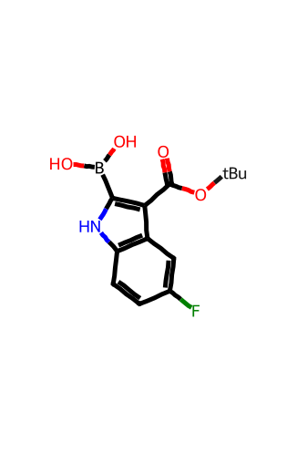 CC(C)(C)OC(=O)c1c(B(O)O)[nH]c2ccc(F)cc12